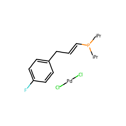 CC(C)P(C=CCc1ccc(F)cc1)C(C)C.[Cl][Pd][Cl]